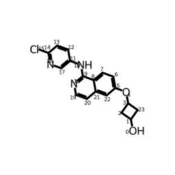 OC1CC(Oc2ccc3c(Nc4ccc(Cl)nc4)nccc3c2)C1